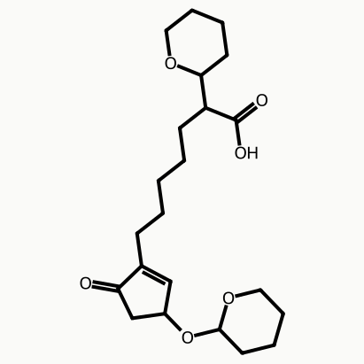 O=C1CC(OC2CCCCO2)C=C1CCCCCC(C(=O)O)C1CCCCO1